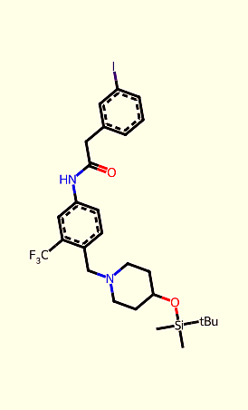 CC(C)(C)[Si](C)(C)OC1CCN(Cc2ccc(NC(=O)Cc3cccc(I)c3)cc2C(F)(F)F)CC1